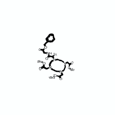 CCC(C(=O)NCC(=O)OCc1ccccc1)N1CCN(CC(=O)OC(C)(C)C)CCN(CC(=O)OC(C)(C)C)CCN(CC(=O)OC(C)(C)C)CC1